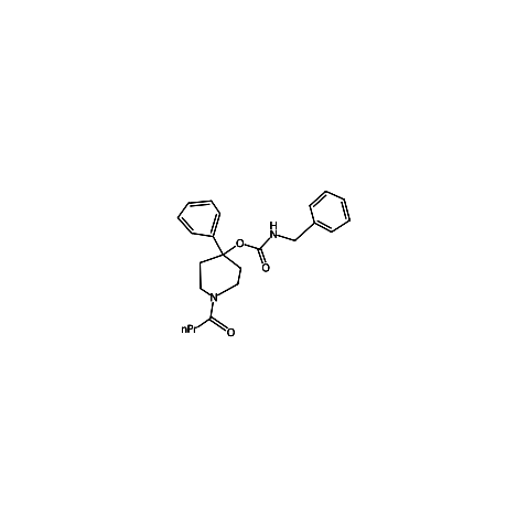 CCCC(=O)N1CCC(OC(=O)NCc2ccccc2)(c2ccccc2)CC1